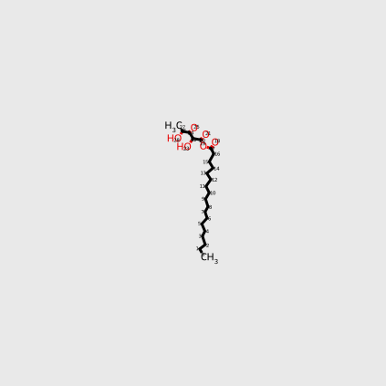 CCCCCCCCCCCCCCCCCC(=O)OC(=O)C(O)C(=O)C(C)O